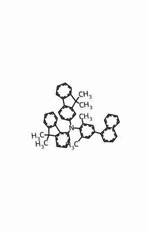 Cc1cc(-c2cccc3ccccc23)cc(C)c1N(c1ccc2c(c1)C(C)(C)c1ccccc1-2)c1cccc2c1-c1ccccc1C2(C)C